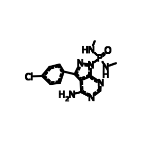 CNP(=O)(NC)n1nc(-c2ccc(Cl)cc2)c2c(N)ncnc21